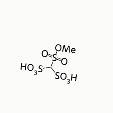 COS(=O)(=O)C(S(=O)(=O)O)S(=O)(=O)O